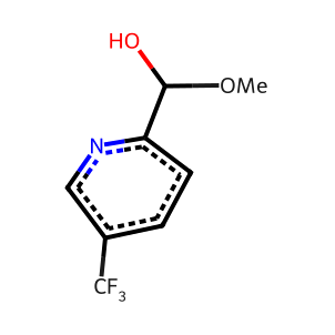 COC(O)c1ccc(C(F)(F)F)cn1